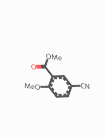 COC(=O)c1cc(C#N)ccc1OC